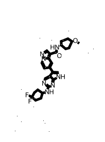 CO[C@H]1CC[C@H](NC(=O)c2cnn3ccc(-c4c[nH]c5nc(NC6CCC(F)(F)CC6)ncc45)cc23)CC1